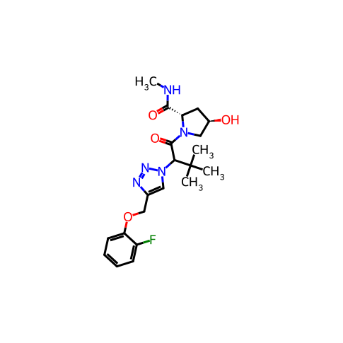 CNC(=O)[C@@H]1C[C@@H](O)CN1C(=O)C(n1cc(COc2ccccc2F)nn1)C(C)(C)C